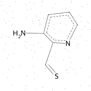 Nc1cccnc1C=S